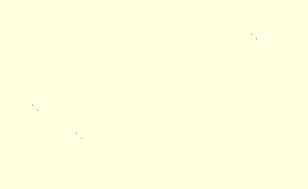 CN(C)c1ccc(-c2cc(N3CCNC3=O)ccc2S(=O)(=O)O)cc1